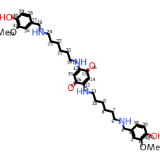 COc1cc(CNCCCCCCNC2=CC(=O)C(NCCCCCCNCc3ccc(O)c(OC)c3)=CC2=O)ccc1O